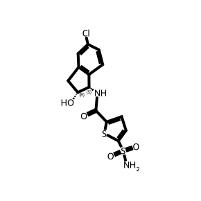 NS(=O)(=O)c1ccc(C(=O)N[C@H]2c3ccc(Cl)cc3C[C@H]2O)s1